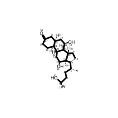 CC(C)C(O)CC[C@@H](C)[C@H]1CC[C@H]2[C@@H]3[C@H](O)C[C@@H]4CC(=O)CC[C@]4(C)[C@H]3C[C@H](O)[C@]12C